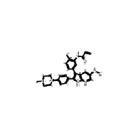 C=CC(=O)Nc1cc(-c2c(-c3ccc(N4CCN(C)CC4)cc3)[nH]c3ncc(OCC)cc23)ccc1C